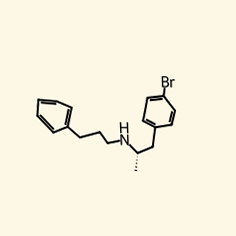 C[C@@H](Cc1ccc(Br)cc1)NCCCc1ccccc1